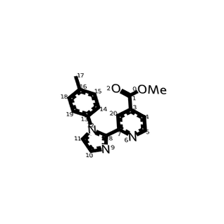 COC(=O)c1ccnc(-c2nccn2-c2ccc(C)cc2)c1